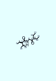 C/C=C(/C(=O)NCC(=O)N(CC)CC)C(C)C